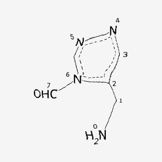 NCc1cnnn1C=O